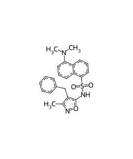 Cc1noc(NS(=O)(=O)c2cccc3c(N(C)C)cccc23)c1Cc1ccccc1